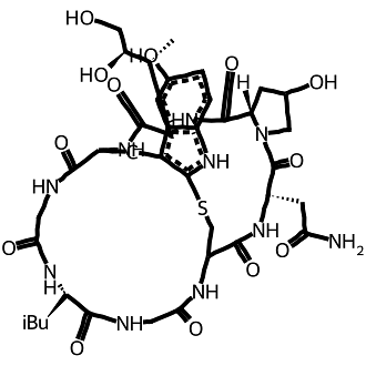 CC[C@H](C)[C@@H]1NC(=O)CNC(=O)C2Cc3c([nH]c4ccc(O)cc34)SCC(NC(=O)CNC1=O)C(=O)N[C@@H](CC(N)=O)C(=O)N1CC(O)C[C@H]1C(=O)N[C@@H]([C@@H](C)[C@@H](O)CO)C(=O)N2